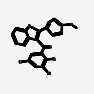 COc1ccc(-c2oc3ccccc3c2C(=O)c2cc(Cl)cc(Cl)c2Cl)cc1